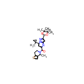 C[C@@H]1c2ccsc2CCN1C(=O)c1cc(C2(C)CC2)n2nc(B3OC(C)(C)C(C)(C)O3)cc2n1